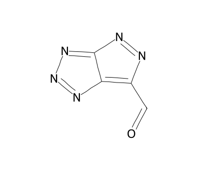 O=CC1=C2N=NN=C2N=N1